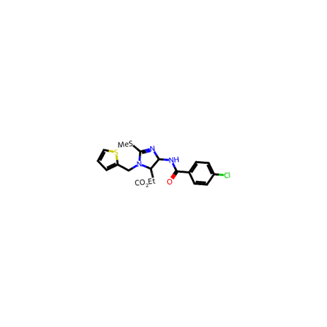 CCOC(=O)C1C(NC(=O)c2ccc(Cl)cc2)N=C(SC)N1Cc1cccs1